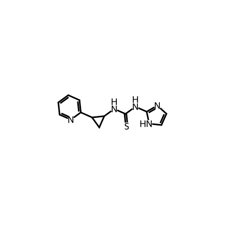 S=C(Nc1ncc[nH]1)NC1CC1c1ccccn1